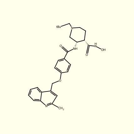 Cc1cc(COc2ccc(C(=O)N[C@@H]3CN(CC(C)(C)C)CC[C@@H]3C(=O)NO)cc2)c2ccccc2n1